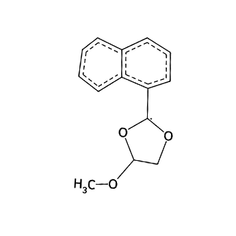 COC1CO[C](c2cccc3ccccc23)O1